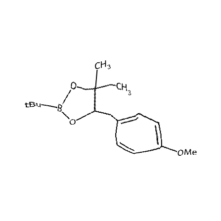 COc1ccc(C2OB(C(C)(C)C)OC2(C)C)cc1